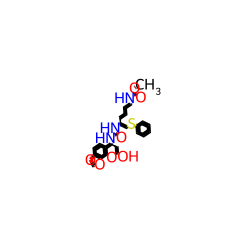 COC(=O)NCCCC[C@@H](CSc1ccccc1)NC(=O)N[C@@H](CC(=O)O)c1ccc2c(c1)OCO2